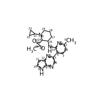 Cc1ccc(-c2cnc3[nH]ccc3n2)c(NC2CCCN(C3CC3)C2S(C)(=O)=O)n1